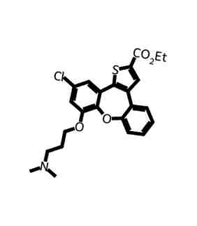 CCOC(=O)c1cc2c(s1)-c1cc(Cl)cc(OCCCN(C)C)c1Oc1ccccc1-2